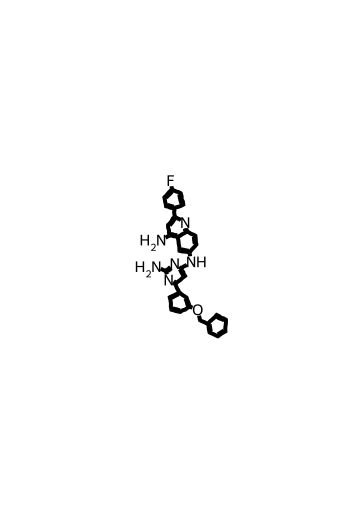 Nc1nc(Nc2ccc3nc(-c4ccc(F)cc4)cc(N)c3c2)cc(-c2cccc(OCc3ccccc3)c2)n1